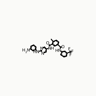 Cc1ccc(C(=O)Nc2cccc(C(F)(F)F)c2)cc1C(=O)Nc1cnc(Nc2cccc(N)c2)nc1